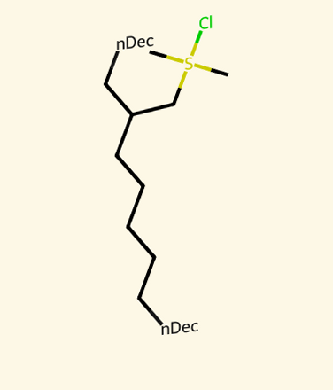 CCCCCCCCCCCCCCCC(CCCCCCCCCCC)CS(C)(C)Cl